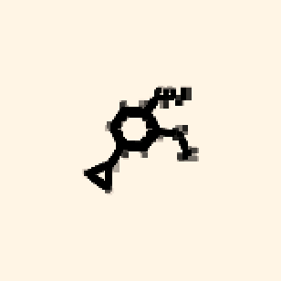 CCSc1cc(C2CC2)ccc1C(=O)O